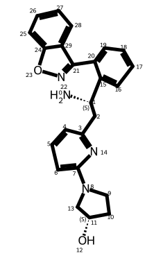 N[C@@H](Cc1cccc(N2CC[C@H](O)C2)n1)c1ccccc1-c1noc2ccccc12